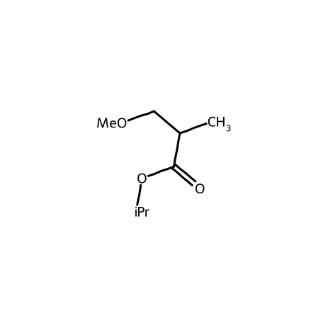 COCC(C)C(=O)OC(C)C